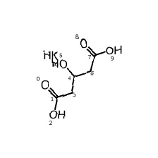 O=C(O)CC(O)CC(=O)O.[KH]